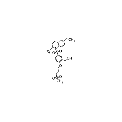 CCc1ccc2c(c1)CCC(C1CC1)N2S(=O)(=O)c1ccc(OCCCS(C)(=O)=O)c(CO)c1